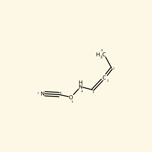 CC=C=CNOC#N